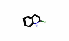 Cl[C]1C=Cc2ccccc2N1